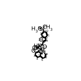 COc1ccc2cccnc2c1S(=O)(=O)NC(=O)c1cc2ccc(N(C)C)cc2o1